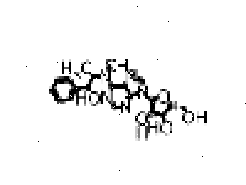 CC(C(O)c1ccccc1)N(C)c1ncnc2c1ncn2[C@@H]1O[C@H](CO)C(O)[C@@H]1O